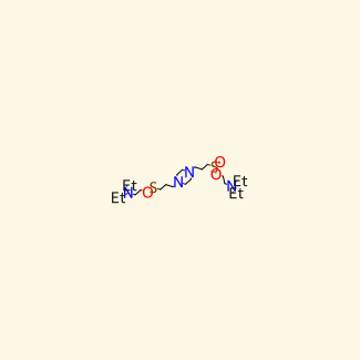 CCN(CC)CCOSCCCN1CCN(CCCS(=O)OCCN(CC)CC)CC1